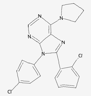 Clc1ccc(-n2c(-c3ccccc3Cl)nc3c(N4CCCC4)ncnc32)cc1